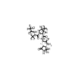 [2H]C1([2H])C[C@@H](C[C@H](NC(=O)[C@@H]2[C@@H]3[C@H](CN2C(=O)[C@@H](NC(=O)C(F)(F)Cl)C(C)(C)C)C3(C)C)C(N)=O)C(=O)N1